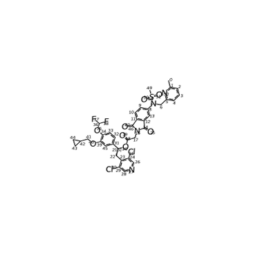 Cc1cccc(CN(c2ccc3c(c2)C(=O)N(CC(=O)O[C@@H](Cc2c(Cl)cncc2Cl)c2ccc(OC(F)F)c(OCC4CC4)c2)C3=O)S(C)(=O)=O)n1